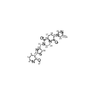 COc1ncccc1-c1nc(CN2CCn3c(ccc(-n4cnc(C)c4)c3=O)C2=O)cs1